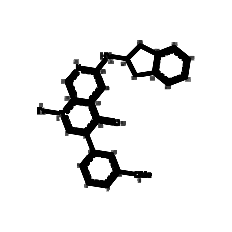 CCn1cc(-c2cccc(OC)c2)c(=O)c2cc(NC3Cc4ccccc4C3)ncc21